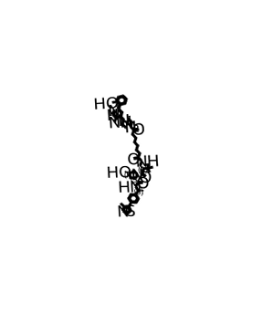 Cc1ncsc1-c1ccc([C@H](C)NC(=O)[C@@H]2C[C@@H](O)CN2C(=O)[C@@H](CNC(=O)CCCCCCC(=O)N2CCN(c3cc(-c4ccccc4O)nnc3N)CC2)C(C)(C)C)cc1